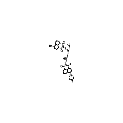 CN1CCN(c2ccc3c4c(cccc24)C(=O)N(CCNCCCN(CCN2C(=O)c4cccc5c(Br)ccc(c45)C2=O)CC2CC2)C3=O)CC1